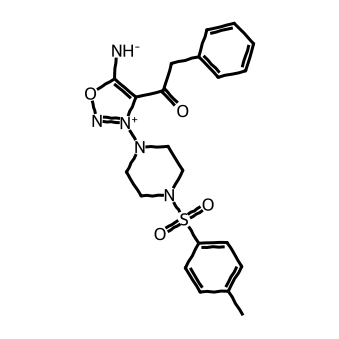 Cc1ccc(S(=O)(=O)N2CCN([n+]3noc([NH-])c3C(=O)Cc3ccccc3)CC2)cc1